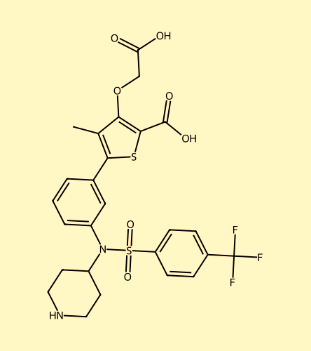 Cc1c(-c2cccc(N(C3CCNCC3)S(=O)(=O)c3ccc(C(F)(F)F)cc3)c2)sc(C(=O)O)c1OCC(=O)O